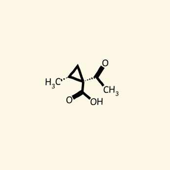 CC(=O)[C@@]1(C(=O)O)C[C@H]1C